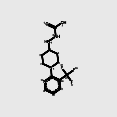 O=C(O)NNC1CCN(c2ncccc2C(F)(F)F)CC1